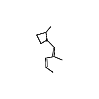 C/C=C\C(C)=C/N1CCC1C